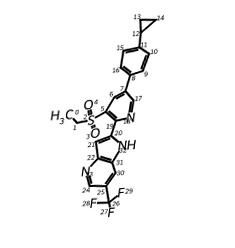 CCS(=O)(=O)c1cc(-c2ccc(C3CC3)cc2)cnc1-c1cc2ncc(C(F)(F)F)cc2[nH]1